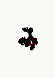 c1ccc2c(N(c3ccc(-c4nc5ccccc5o4)cc3)c3ccc(-n4c5ccc(N(c6ccc(-c7nc8ccccc8o7)cc6)c6cccc7ccccc67)cc5c5cc(N(c6ccc(-c7nc8ccccc8o7)cc6)c6cccc7ccccc67)ccc54)cc3)cccc2c1